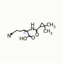 CC1(C)CC1C(=O)N/C(=C/CCC#N)C(=O)O